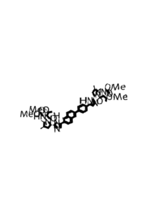 COC(=O)N[C@H](C(=O)N1[C@H](C)[C@H](C)C[C@H]1c1ncc(-c2ccc(-c3ccc4cc(-c5cnc([C@@H]6C[C@@H](C)[C@@H](C)N6C(=O)[C@@H](NC(=O)OC)[C@@H](C)OC)[nH]5)ccc4c3)cc2)[nH]1)[C@@H](C)OC